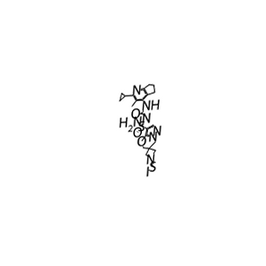 Cc1c(C2CC2)nc2c(c1NC(=O)N=S(N)(=O)c1cnn3c1OCC1(CN(SI)C1)C3)CCC2